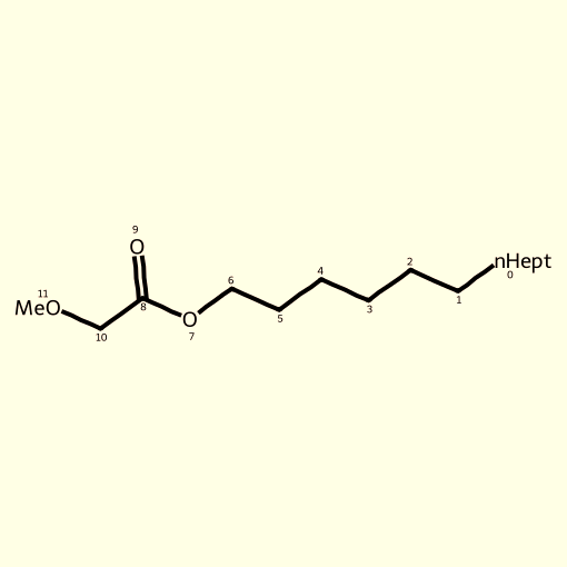 CCCCCCCCCCCCCOC(=O)COC